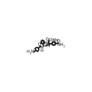 COC(=O)c1[nH]c(C[C@H](NC(=O)C2CCC(CN)CC2)c2ccccc2)nc1-c1ccc(C(N)=O)cc1